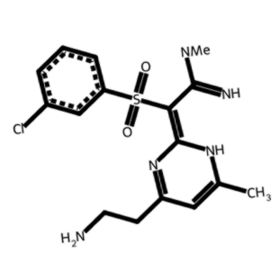 CNC(=N)/C(=C1/N=C(CCN)C=C(C)N1)S(=O)(=O)c1cccc(Cl)c1